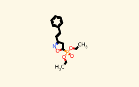 CCOP(=O)(OCC)C1CC(C=Cc2ccccc2)=NO1